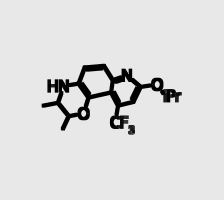 CC(C)Oc1cc(C(F)(F)F)c2c3c(ccc2n1)NC(C)C(C)O3